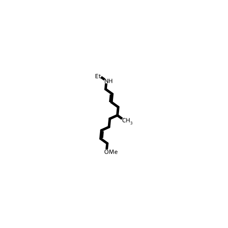 CCNC/C=C/CC(C)CC/C=C\COC